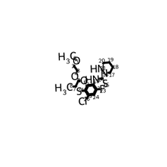 COCCOC(=O)C(C)Sc1cc(NC(=S)N2CCCCN2)c(F)cc1Cl